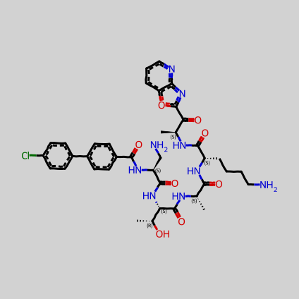 C[C@H](NC(=O)[C@@H](NC(=O)[C@H](CN)NC(=O)c1ccc(-c2ccc(Cl)cc2)cc1)[C@@H](C)O)C(=O)N[C@@H](CCCCN)C(=O)N[C@@H](C)C(=O)c1nc2ncccc2o1